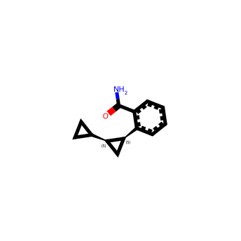 NC(=O)c1ccccc1[C@H]1C[C@H]1C1CC1